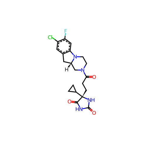 O=C1NC(=O)[C@](CCC(=O)N2CCN3c4cc(F)c(Cl)cc4C[C@H]3C2)(C2CC2)N1